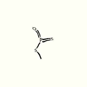 CSP(=O)=S